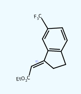 CCOC(=O)/C=C1\CCc2ccc(C(F)(F)F)cc21